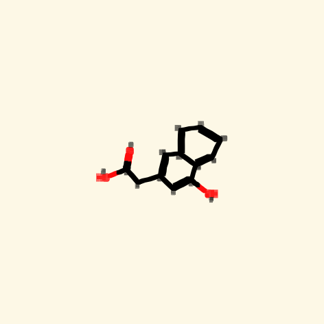 O=C(O)Cc1cc(O)c2ccccc2c1